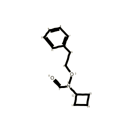 O=CN(OCCc1ccccc1)C1CCC1